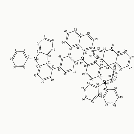 c1ccc(-n2c3ccccc3c3c(-c4ccc(N(c5ccc6c(c5)C5(c7ccccc7Sc7ccccc75)c5ccccc5[Si]6(c5ccccc5)c5ccccc5)c5cccc6ccccc56)cc4)cccc32)cc1